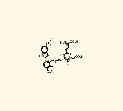 COc1cc[n+](-c2nc3cc(C(F)(F)F)ccc3[nH]2)c(CSSC[C@H](NC(=O)CC[C@H](N)C(=O)O)C(=O)NCC(=O)O)c1C.[Cl-]